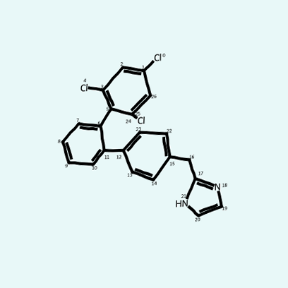 Clc1cc(Cl)c(-c2ccccc2-c2ccc(Cc3ncc[nH]3)cc2)c(Cl)c1